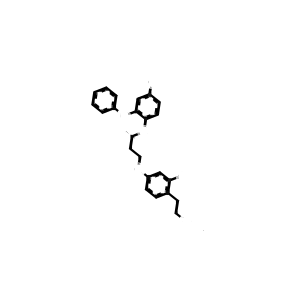 CC[C@H](CCOc1ccc(CCC(=O)O)c(C)c1)Oc1ccc(Cl)cc1Oc1ccccc1